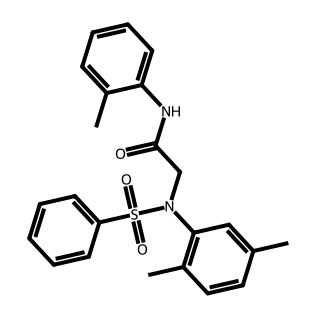 Cc1ccc(C)c(N(CC(=O)Nc2ccccc2C)S(=O)(=O)c2ccccc2)c1